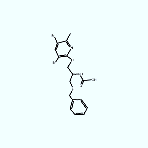 Cc1nc(OCC(COCc2ccccc2)NC(=O)O)c(Br)cc1Br